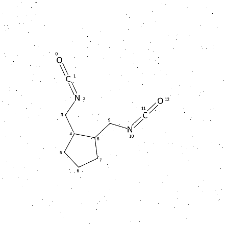 O=C=NCC1CCCC1CN=C=O